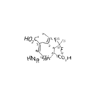 C/C=C\C(=C/CC)C(=O)O.CCCC(CC(C)(F)F)C(=O)O.[NaH]